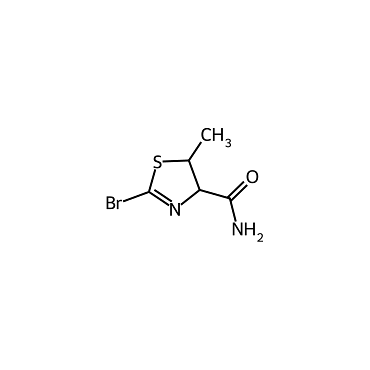 CC1SC(Br)=NC1C(N)=O